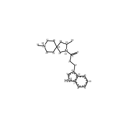 C=C(CCc1c[nH]c2ccccc12)N1CC2(CCN(C)CC2)CC1C